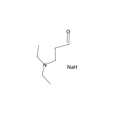 CCN(CC)CCC=O.[NaH]